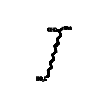 CCCCCCCCC(C=O)CCC=CCCCCCCCC(=O)O